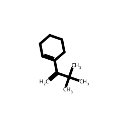 C=C(C1=CCCCC1)C(C)(C)C